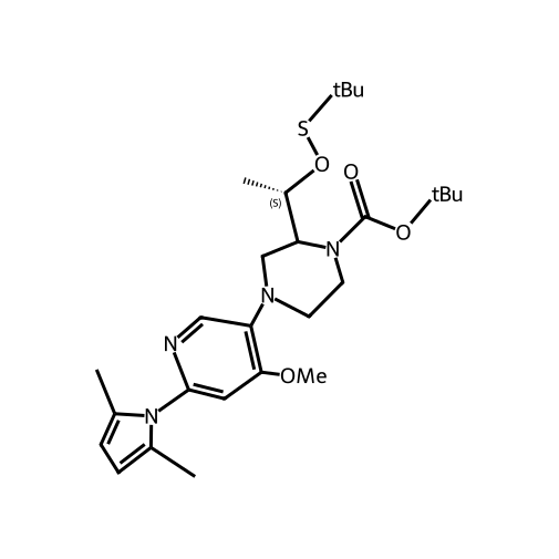 COc1cc(-n2c(C)ccc2C)ncc1N1CCN(C(=O)OC(C)(C)C)C([C@H](C)OSC(C)(C)C)C1